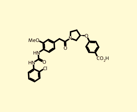 COc1cc(CC(=O)N2CC[C@@H](Oc3ccc(C(=O)O)cc3)C2)ccc1NC(=O)Nc1ccccc1Cl